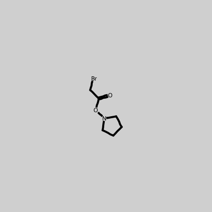 O=C(CBr)ON1CCCC1